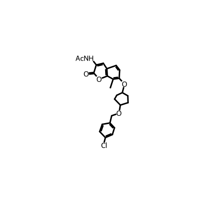 CC(=O)Nc1cc2ccc(OC3CCC(OCc4ccc(Cl)cc4)CC3)c(C)c2oc1=O